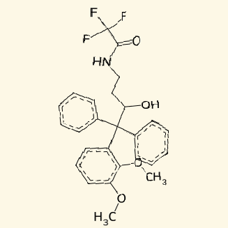 COc1cccc(C(c2ccccc2)(c2ccccc2)C(O)CCNC(=O)C(F)(F)F)c1OC